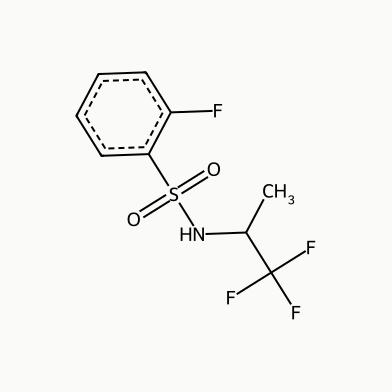 CC(NS(=O)(=O)c1ccccc1F)C(F)(F)F